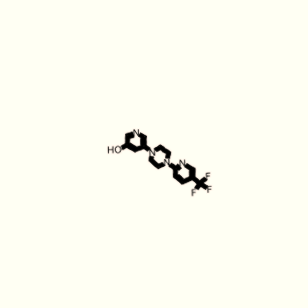 Oc1cncc(N2CCN(c3ccc(C(F)(F)F)cn3)CC2)c1